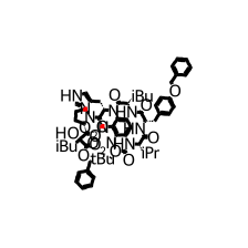 CCC(C)C(O)(C(=O)OCc1ccccc1)C(=O)[C@@H]1CCCN1C(=O)[C@H](Cc1c[nH]cn1)N(C(=O)[C@@H](NC(=O)[C@H](Cc1ccc(OCc2ccccc2)cc1)NC(=O)[C@@H](NC(=O)OC(C)(C)C)C(C)C)[C@@H](C)CC)c1cccc([N+](=O)[O-])c1[N+](=O)[O-]